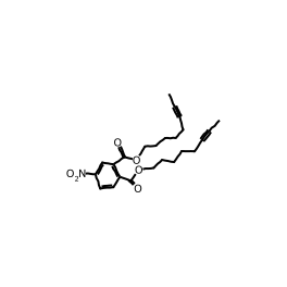 CC#CCCCCCOC(=O)c1ccc([N+](=O)[O-])cc1C(=O)OCCCCCC#CC